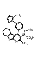 Cc1nc2sc3c(c2c(-c2cccc(-c4nccn4C)c2)c1[C@H](OC(C)(C)C)C(=O)O)CCCC3